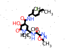 C\C=C(F)/C=C\C(=C/C)CNC(=O)c1cc(C(C)(C)NC(=O)c2nnc(C)o2)n(C)c(=O)c1O